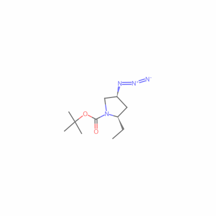 CC[C@@H]1C[C@H](N=[N+]=[N-])CN1C(=O)OC(C)(C)C